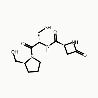 O=C1C[C@@H](C(=O)N[C@@H](CS)C(=O)N2CCC[C@H]2CO)N1